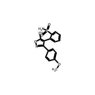 COc1ccc(-c2noc(C)c2-c2ccccc2S(N)(=O)=O)cc1